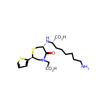 NCCCCCC[C@H](N[C@H]1CS[C@H](c2cccs2)CN(CC(=O)O)C1=O)C(=O)O